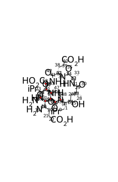 CC(C)C[C@H](NC(=O)[C@H](CC(N)=O)NC(=O)C(NC(=O)[C@@H](N)CCC(=O)O)C(C)C)[C@@H](O)C[C@@H](C)C(=O)N[C@@H](C)C(=O)N[C@@H](CCC(=O)O)C(=O)N[C@@H](Cc1ccccc1)C(=O)O